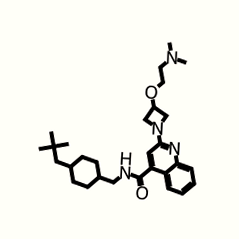 CN(C)CCOC1CN(c2cc(C(=O)NCC3CCC(CC(C)(C)C)CC3)c3ccccc3n2)C1